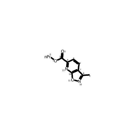 CCCOC(=O)c1ccc2c(C)noc2n1